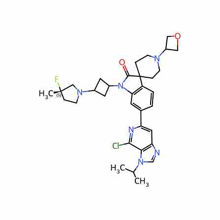 CC(C)n1cnc2cc(-c3ccc4c(c3)N(C3CC(N5CC[C@](C)(F)C5)C3)C(=O)C43CCN(C4COC4)CC3)nc(Cl)c21